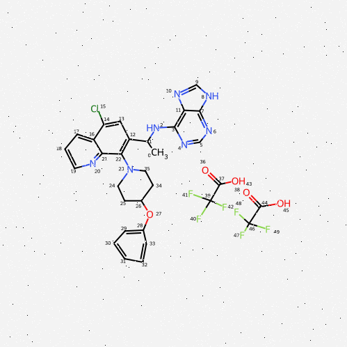 CC(Nc1ncnc2[nH]cnc12)c1cc(Cl)c2cccnc2c1N1CCC(Oc2ccccc2)CC1.O=C(O)C(F)(F)F.O=C(O)C(F)(F)F